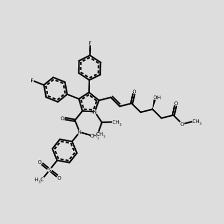 COC(=O)C[C@H](O)CC(=O)C=Cc1c(-c2ccc(F)cc2)c(-c2ccc(F)cc2)c(C(=O)N(C)c2ccc(S(C)(=O)=O)cc2)n1C(C)C